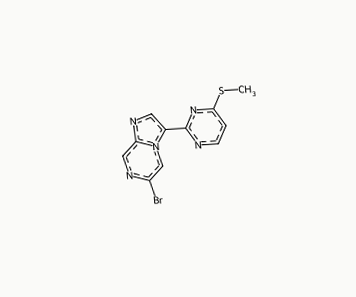 CSc1ccnc(-c2cnc3cnc(Br)cn23)n1